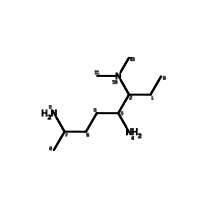 CCC(C(N)CCC(C)N)N(C)C